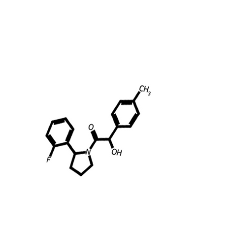 Cc1ccc(C(O)C(=O)N2CCCC2c2ccccc2F)cc1